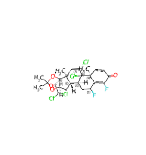 CC1(C)O[C@@H]2C[C@H]3[C@@H]4C[C@H](F)C5=C(F)C(=O)C=C[C@]5(C)[C@@]4(Cl)[C@@H](Cl)C[C@]3(C)[C@]2(C(=O)C(Cl)Cl)O1